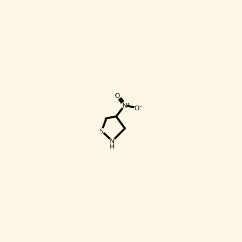 O=[N+]([O-])C1[CH]SNC1